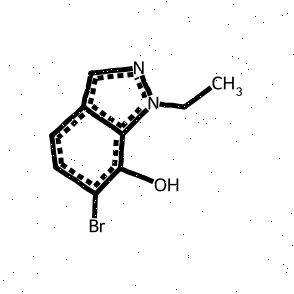 CCn1ncc2ccc(Br)c(O)c21